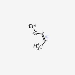 C[CH]S/C=C\C